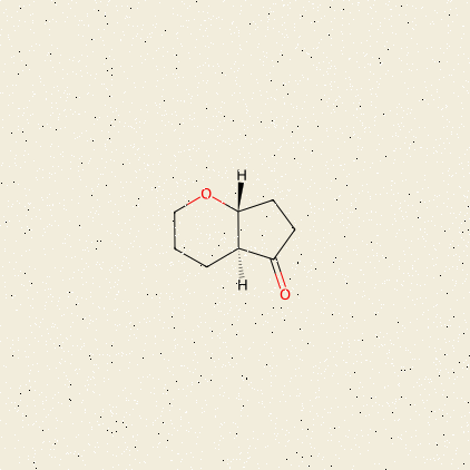 O=C1CC[C@H]2OCCC[C@H]12